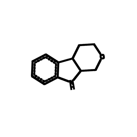 c1ccc2c(c1)NC1COCCC21